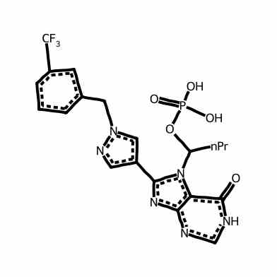 CCCC(OP(=O)(O)O)n1c(-c2cnn(Cc3cccc(C(F)(F)F)c3)c2)nc2nc[nH]c(=O)c21